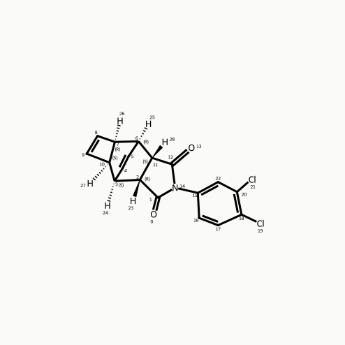 O=C1[C@@H]2[C@@H]3C=C[C@@H]([C@@H]4C=C[C@@H]43)[C@@H]2C(=O)N1c1ccc(Cl)c(Cl)c1